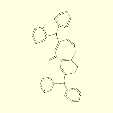 C=C1/C=C(N(c2ccccc2)c2ccccc2)\C=C/CC2=C1C=C(N(c1ccccc1)c1ccccc1)CC2